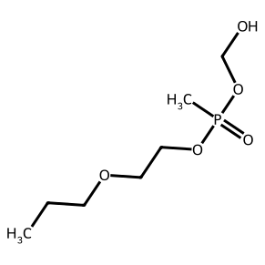 CCCOCCOP(C)(=O)OCO